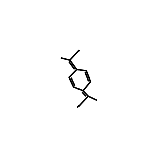 CC(C)=c1ccc(=C(C)C)cc1